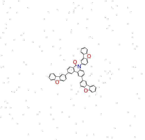 O=c1c2ccc(-c3ccc4oc5ccccc5c4c3)cc2c2cc(-c3ccc4oc5ccccc5c4c3)ccc2n1-c1ccc2oc3ccccc3c2c1